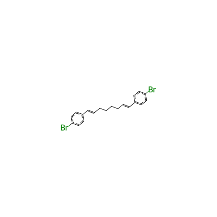 Brc1ccc(/C=C/CCCC/C=C/c2ccc(Br)cc2)cc1